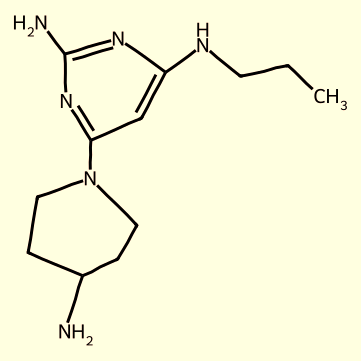 CCCNc1cc(N2CCC(N)CC2)nc(N)n1